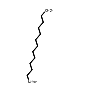 CC(=O)NCCCCCCCCCCC[C]=O